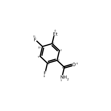 CCc1cc(C(N)=O)c(F)cc1F